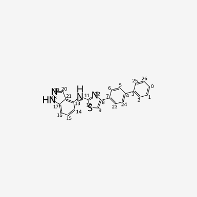 c1ccc(-c2ccc(-c3csc(Nc4cccc5[nH]ncc45)n3)cc2)cc1